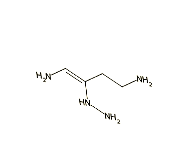 N/C=C(/CCN)NN